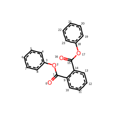 O=C(Oc1ccccc1)c1c[c]ccc1C(=O)Oc1ccccc1